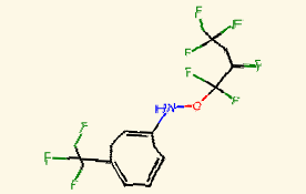 FC(C(F)(F)F)C(F)(F)ONc1cccc(C(F)(F)F)c1